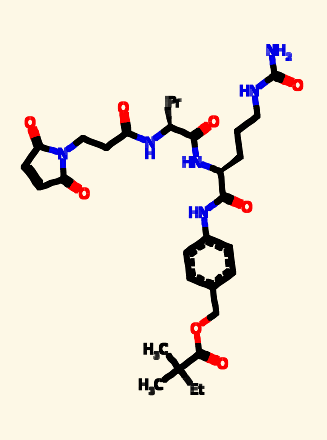 CCC(C)(C)C(=O)OCc1ccc(NC(=O)[C@H](CCCNC(N)=O)NC(=O)[C@@H](NC(=O)CCN2C(=O)C=CC2=O)C(C)C)cc1